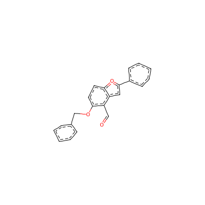 O=Cc1c(OCc2ccccc2)ccc2oc(-c3ccccc3)cc12